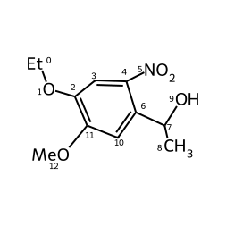 CCOc1cc([N+](=O)[O-])c(C(C)O)cc1OC